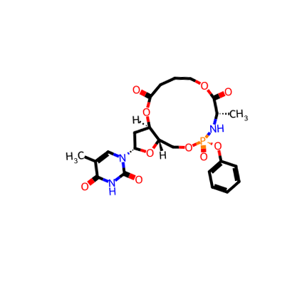 Cc1cn([C@@H]2C[C@H]3OC(=O)CCCOC(=O)[C@H](C)N[P@](=O)(Oc4ccccc4)OC[C@@H]3O2)c(=O)[nH]c1=O